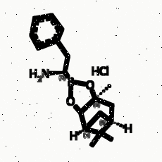 CC1(C)[C@H]2C[C@@H]1C1OB([C@@H](N)Cc3ccccc3)O[C@@]1(C)C2.Cl